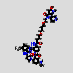 CC(C)N(C)[C@@H]1CC[C@H](N2CC[C@H](Nc3ncnc4ccc(C(F)(F)F)cc34)C2O)[C@H](NC(=O)[C@H]2CC[C@H](NC(=O)CCCOCCCCOCCNC(=O)[C@H]3CC(=O)N(C)[C@@H]3c3cccnc3)CC2)C1